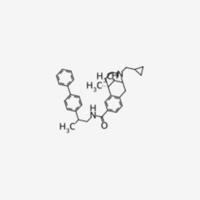 CC(CNC(=O)c1ccc2c(c1)[C@@]1(C)CCN(CC3CC3)C(C2)[C@@H]1C)c1ccc(-c2ccccc2)cc1